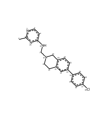 Cc1nccc(NCN2CCc3cc(-c4ccc(Cl)cc4)ccc3C2)n1